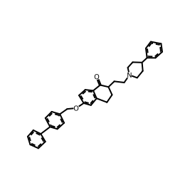 O=C1c2ccc(OCc3ccc(-c4ccccc4)cc3)cc2CCC1CCN1CCC(c2ccccc2)CC1